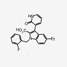 CCc1ccc2c(c1)c(-c1ccc[nH]c1=O)c(C(=O)O)n2Cc1ccccc1F